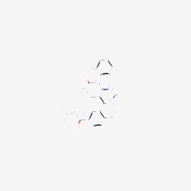 CSc1nc(-c2cc(C(=O)NC(C)C)ccc2C)c2c(n1)N(c1c(F)cccc1F)C(=O)NC2